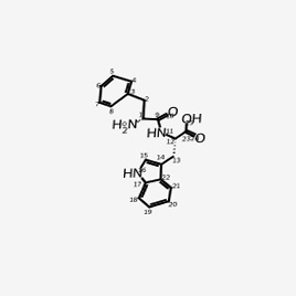 N[C@H](Cc1ccccc1)C(=O)N[C@@H](Cc1c[nH]c2ccccc12)C(=O)O